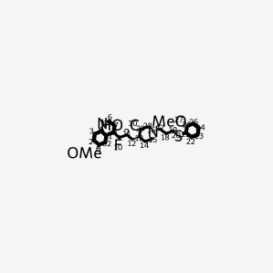 COc1ccc2nccc([C@H](F)CC[C@@H]3CCN(CCCSc4ccccc4OC)C[C@@H]3C(=O)O)c2c1